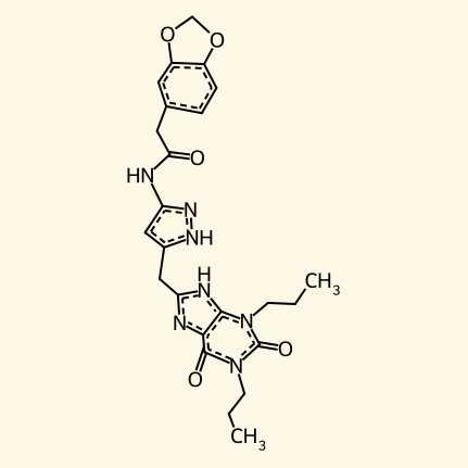 CCCn1c(=O)c2nc(Cc3cc(NC(=O)Cc4ccc5c(c4)OCO5)n[nH]3)[nH]c2n(CCC)c1=O